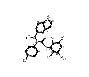 CCc1ccc(N(C(=O)Nc2c(CC)c(N)cc(Cl)c2CC)C(C)c2ccc3[nH]cnc3c2)cc1